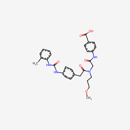 COCCCN(CC(=O)Nc1ccc(C(=O)O)cc1)C(=O)Cc1ccc(NC(=O)Nc2ccccc2C)cc1